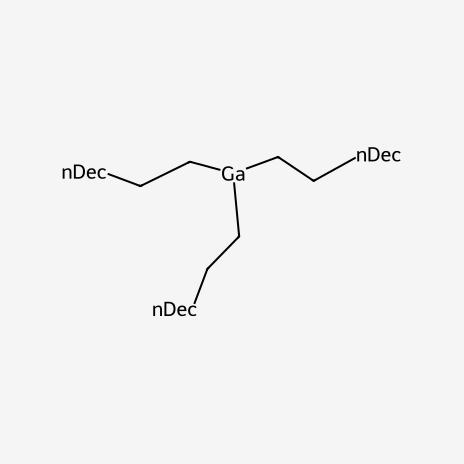 CCCCCCCCCCC[CH2][Ga]([CH2]CCCCCCCCCCC)[CH2]CCCCCCCCCCC